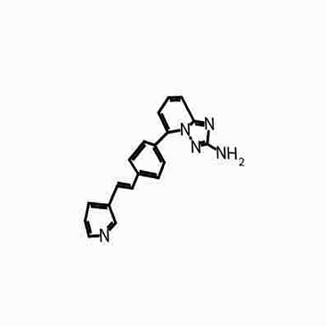 Nc1nc2cccc(-c3ccc(C=Cc4cccnc4)cc3)n2n1